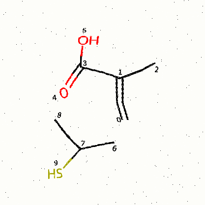 C=C(C)C(=O)O.CC(C)S